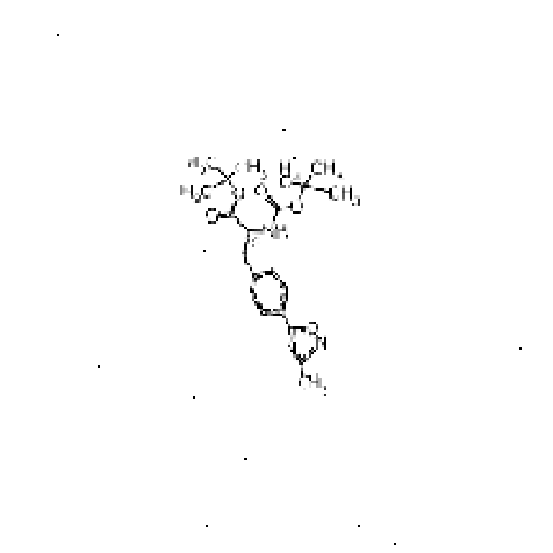 Cc1noc(-c2ccc(C[C@H](NC(=O)OC(C)(C)C)C(=O)OC(C)(C)C)cc2)n1